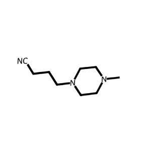 CN1CCN(CCCC#N)CC1